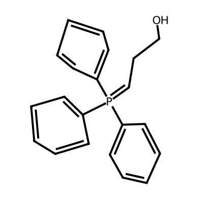 OCCC=P(c1ccccc1)(c1ccccc1)c1ccccc1